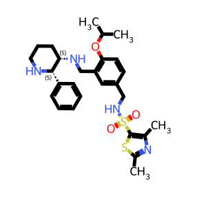 Cc1nc(C)c(S(=O)(=O)NCc2ccc(OC(C)C)c(CN[C@H]3CCCN[C@H]3c3ccccc3)c2)s1